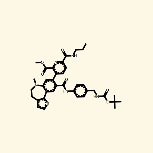 CCCNC(=O)c1ccc(-c2cc3c(cc2C(=O)Nc2ccc(CNC(=O)OC(C)(C)C)cc2)-c2sccc2CCN3C)c(C(=O)OC)n1